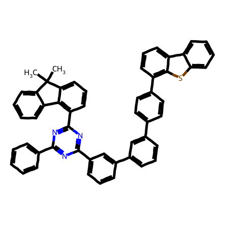 CC1(C)c2ccccc2-c2c(-c3nc(-c4ccccc4)nc(-c4cccc(-c5cccc(-c6ccc(-c7cccc8c7sc7ccccc78)cc6)c5)c4)n3)cccc21